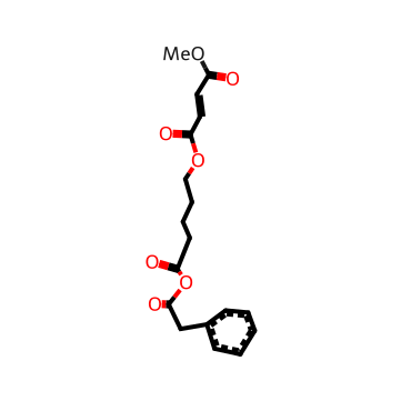 COC(=O)C=CC(=O)OCCCCC(=O)OC(=O)Cc1ccccc1